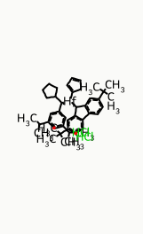 CC(C)c1cc(/[C](C2CCCC2)=[Hf](/[C]2=CC=CC2)[CH]2c3cc(C(C)(C)C)ccc3-c3ccc(C(C)(C)C)cc32)cc(C(C)C)c1.Cl.Cl